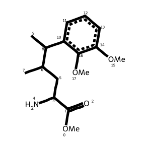 COC(=O)C(N)CC(C)C(C)c1cccc(OC)c1OC